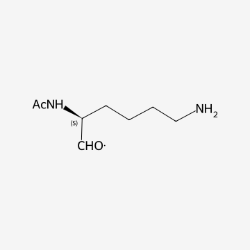 CC(=O)N[C@H]([C]=O)CCCCN